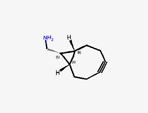 NC[C@H]1[C@H]2CCC#CCC[C@@H]12